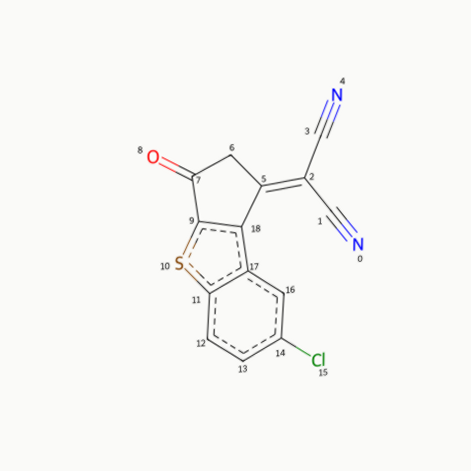 N#CC(C#N)=C1CC(=O)c2sc3ccc(Cl)cc3c21